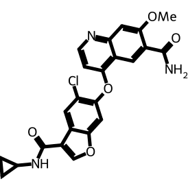 COc1cc2nccc(Oc3cc4occ(C(=O)NC5CC5)c4cc3Cl)c2cc1C(N)=O